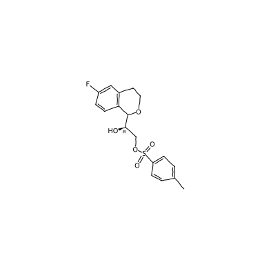 Cc1ccc(S(=O)(=O)OC[C@@H](O)C2OCCc3cc(F)ccc32)cc1